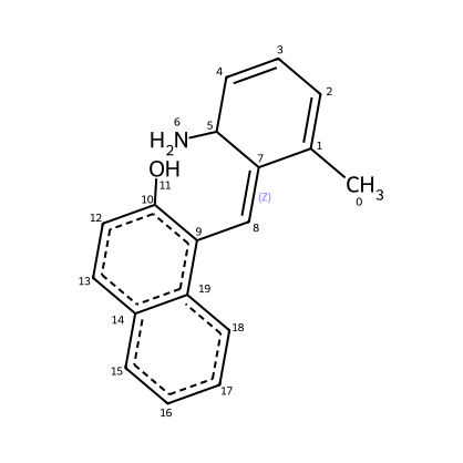 CC1=CC=CC(N)/C1=C\c1c(O)ccc2ccccc12